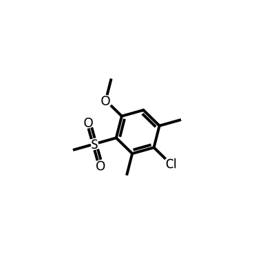 COc1cc(C)c(Cl)c(C)c1S(C)(=O)=O